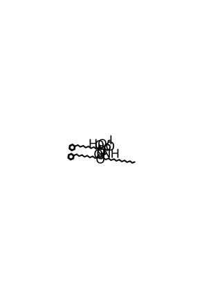 CCCCCCCCCCCCC(OC(=O)CCCCCCCCc1ccccc1)C(=O)N[C@H]1CO[C@H](CI)[C@@H](O)[C@@H]1OC(=O)CCCCCCCCc1ccccc1